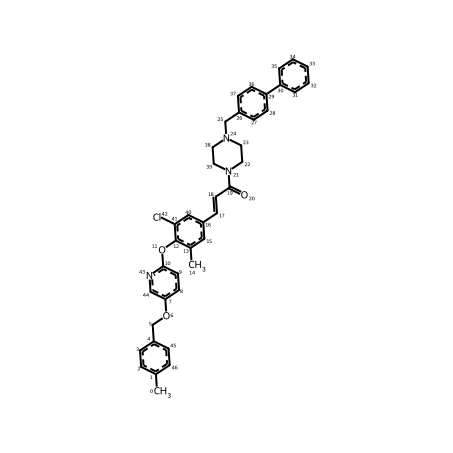 Cc1ccc(COc2ccc(Oc3c(C)cc(/C=C/C(=O)N4CCN(Cc5ccc(-c6ccccc6)cc5)CC4)cc3Cl)nc2)cc1